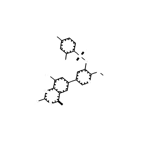 COc1ncc(-c2cc(C)c3[nH]c(N)nc(=O)c3c2)cc1NS(=O)(=O)c1ccc(F)cc1F